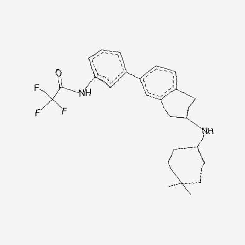 CC1(C)CCC(NC2Cc3ccc(-c4cccc(NC(=O)C(F)(F)F)c4)cc3C2)CC1